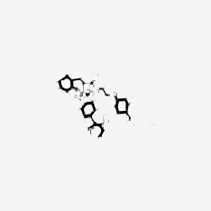 O=C(O)Cc1ccc(OCCNC(=O)[C@@H]2Cc3ccccc3N2S(=O)(=O)c2ccc(-c3ccccc3F)cc2)cc1